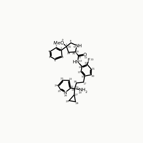 CO[C@@]1(c2ccccc2)CN[C@@H](C(=O)Nc2cc(CC[C@@](N)(c3ccccn3)C3CC3)ccc2F)C1